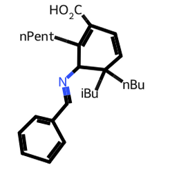 CCCCCC1=C(C(=O)O)C=CC(CCCC)(C(C)CC)C1N=Cc1ccccc1